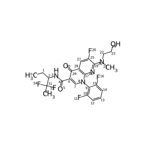 CCC(NC(=O)c1cn(-c2c(F)cccc2F)c2nc(N(C)CCO)c(F)cc2c1=O)C(C)(F)F